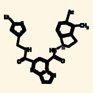 CCc1cc(CNC(=O)c2cc(C(=O)N[C@H]3CCc4c3ccc(C(C)=O)c4C)n3nccc3n2)cs1